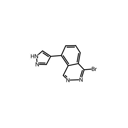 Brc1nncc2c(-c3cn[nH]c3)cccc12